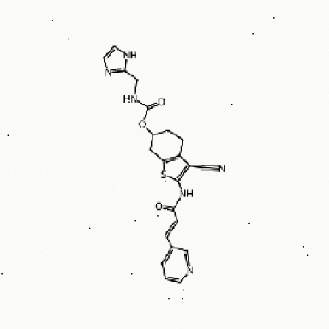 N#Cc1c(NC(=O)C=Cc2cccnc2)sc2c1CCC(OC(=O)NCc1ncc[nH]1)C2